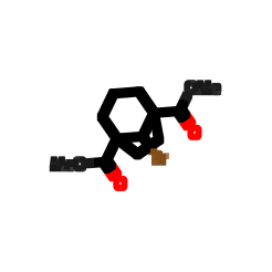 COC(=O)C12CCCC(C(=O)OC)(CC1)C2Br